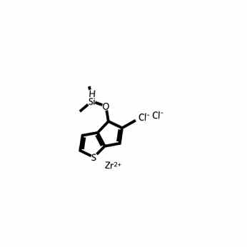 CC1=Cc2sccc2C1O[SiH](C)C.[Cl-].[Cl-].[Zr+2]